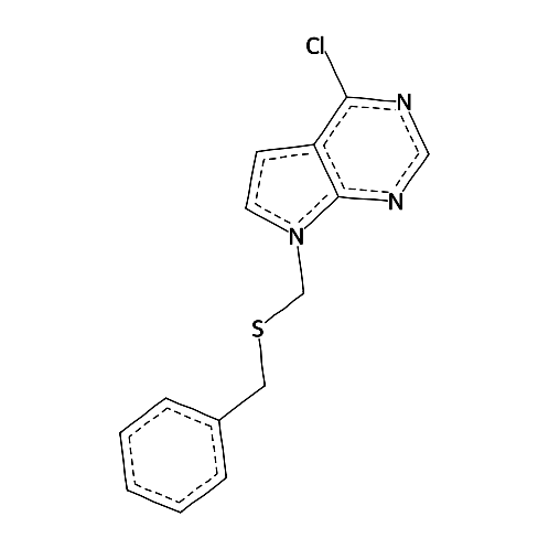 Clc1ncnc2c1ccn2CSCc1ccccc1